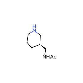 CC(=O)NC[C@H]1CCCNC1